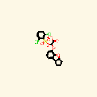 O=C(O)C(Oc1cccc2c1OC1CCCC21)OS(=O)(=O)c1c(Cl)cccc1Cl